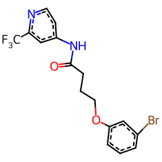 O=C(CCCOc1cccc(Br)c1)Nc1ccnc(C(F)(F)F)c1